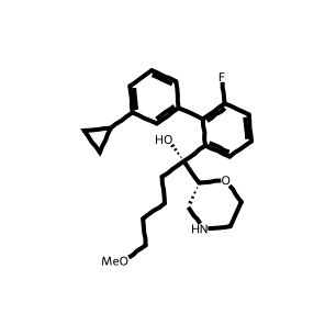 COCCCC[C@@](O)(c1cccc(F)c1-c1cccc(C2CC2)c1)[C@H]1CNCCO1